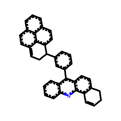 C1=Cc2c(ccc3c(-c4cccc(C5CC=c6ccc7cccc8ccc5c6c87)c4)c4ccccc4nc23)CC1